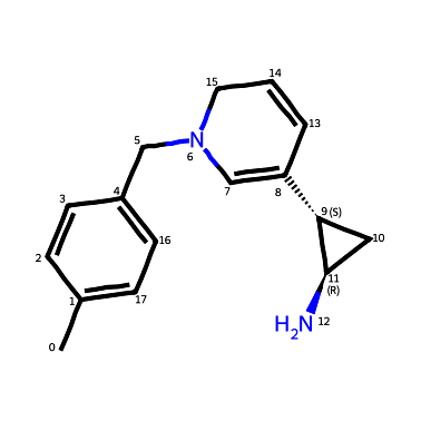 Cc1ccc(CN2C=C([C@@H]3C[C@H]3N)C=CC2)cc1